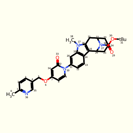 Cc1ccc(COc2ccn(-c3ccc4c5c(n(C)c4c3)CC3CCCC5N3C(=O)OC(C)(C)C)c(=O)c2)cn1